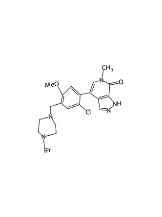 COc1cc(-c2cn(C)c(=O)c3[nH]ncc23)c(Cl)cc1CN1CCN(C(C)C)CC1